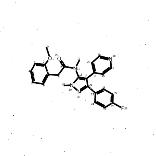 COc1ccccc1CC(=O)N(C)c1c(-c2ccncc2)c(-c2ccc(F)cc2)nn1C